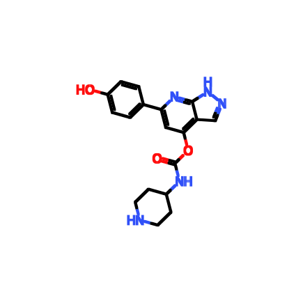 O=C(NC1CCNCC1)Oc1cc(-c2ccc(O)cc2)nc2[nH]ncc12